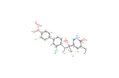 CCc1cc(C(O)(C(C)c2ccc(-c3ccc(C(=O)OC)c(F)c3)cc2Cl)C(F)(F)F)c[nH]c1=O